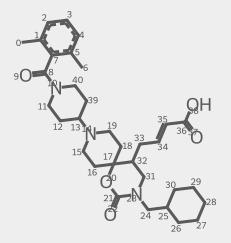 Cc1cccc(C)c1C(=O)N1CCC(N2CCC3(CC2)OC(=O)N(CC2CCCCC2)CC3C/C=C/C(=O)O)CC1